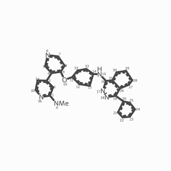 CNc1cc(-c2cnccc2Oc2ccc(Nc3nnc(-c4ccccc4)c4ccccc34)cc2)ccn1